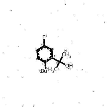 CC(C)(C)c1ccc(F)cc1C(C)(C)O